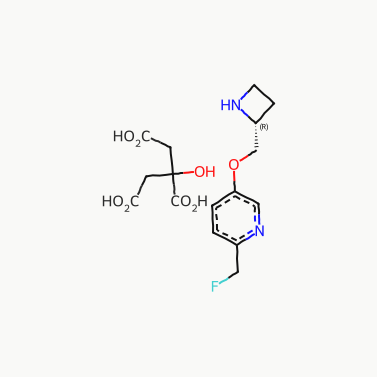 FCc1ccc(OC[C@H]2CCN2)cn1.O=C(O)CC(O)(CC(=O)O)C(=O)O